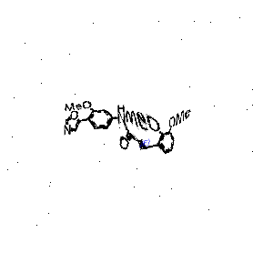 COc1cc(NC(=O)/C=C/c2cccc(OC)c2OC)ccc1-c1cnco1